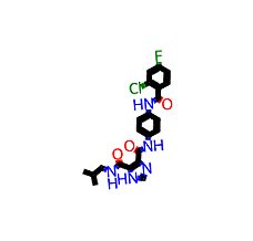 CC(C)CNC(=O)c1[nH]cnc1C(=O)Nc1ccc(NC(=O)c2ccc(F)cc2Cl)cc1